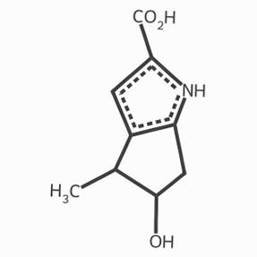 CC1c2cc(C(=O)O)[nH]c2CC1O